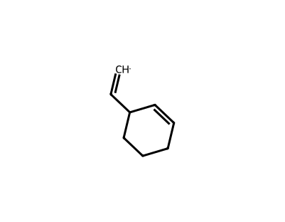 [CH]=CC1C=CCCC1